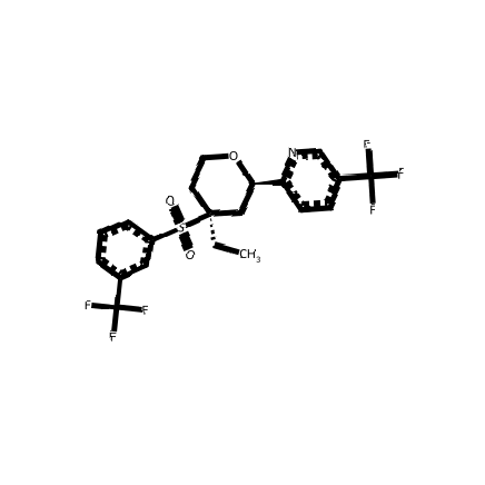 CC[C@]1(S(=O)(=O)c2cccc(C(F)(F)F)c2)CCO[C@@H](c2ccc(C(F)(F)F)cn2)C1